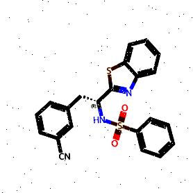 N#Cc1cccc(C[C@@H](NS(=O)(=O)c2ccccc2)c2nc3ccccc3s2)c1